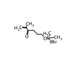 C=C(C)C(=O)CCCO[Si](C)(C)C(C)(C)C